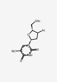 CC(=O)OC[C@@H]1O[C@H](n2cc(C#N)c(=O)[nH]c2=O)CC1C(C)=O